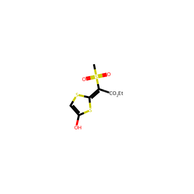 CCOC(=O)C(=C1SC=C(O)S1)S(C)(=O)=O